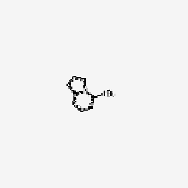 CC(C)(C)c1cccc2cccn12